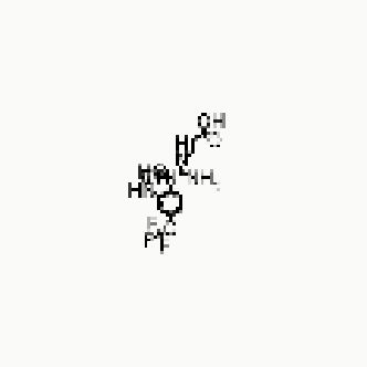 N/C(NCCC(=O)O)=[N+](/O)c1ccc(OC(F)(F)F)cc1NO